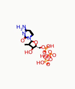 CC1C(O)[C@@H](COP(=O)(O)OP(=O)(O)OP(=O)(O)O)O[C@H]1n1ccc(N)nc1=O